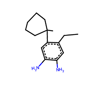 CCc1cc(N)c(N)cc1C1(C)CCCCC1